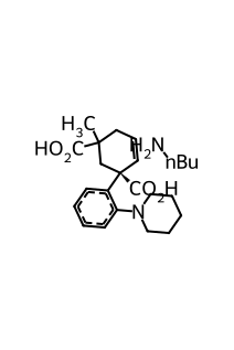 CC1(C(=O)O)CC=C[C@](C(=O)O)(c2ccccc2N2CCCCC2)C1.CCCCN